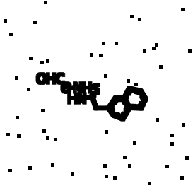 O=CONNC(=S)Cc1ccc2ccccc2c1